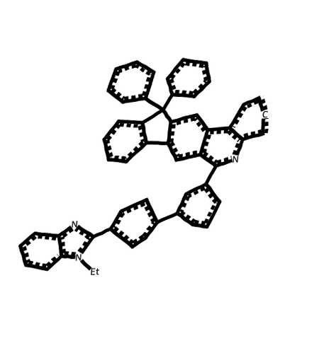 CCn1c(-c2ccc(-c3cccc(-c4nc5ccccc5c5cc6c(cc45)-c4ccccc4C6(c4ccccc4)c4ccccc4)c3)cc2)nc2ccccc21